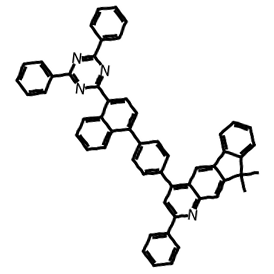 CC1(C)c2ccccc2-c2cc3c(-c4ccc(-c5ccc(-c6nc(-c7ccccc7)nc(-c7ccccc7)n6)c6ccccc56)cc4)cc(-c4ccccc4)nc3cc21